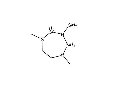 CN1CCN(C)[SiH2]N([SiH3])[SiH2]1